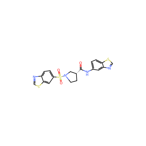 O=C(Nc1ccc2scnc2c1)[C@@H]1CCN(S(=O)(=O)c2ccc3ncsc3c2)C1